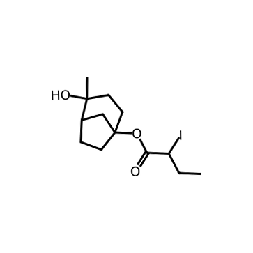 CCC(I)C(=O)OC12CCC(C1)C(C)(O)CC2